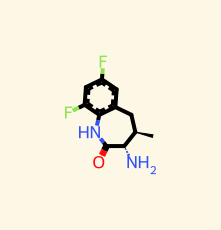 C[C@@H]1Cc2cc(F)cc(F)c2NC(=O)[C@H]1N